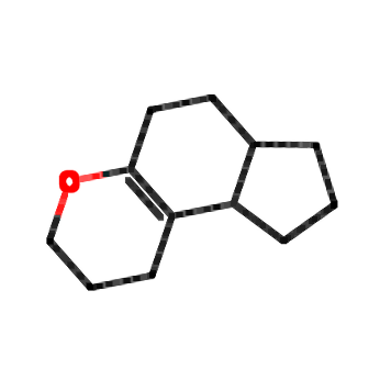 C1COC2=C(C1)C1CCCC1CC2